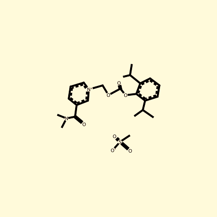 CC(C)c1cccc(C(C)C)c1OC(=O)OC[n+]1cccc(C(=O)N(C)C)c1.CS(=O)(=O)[O-]